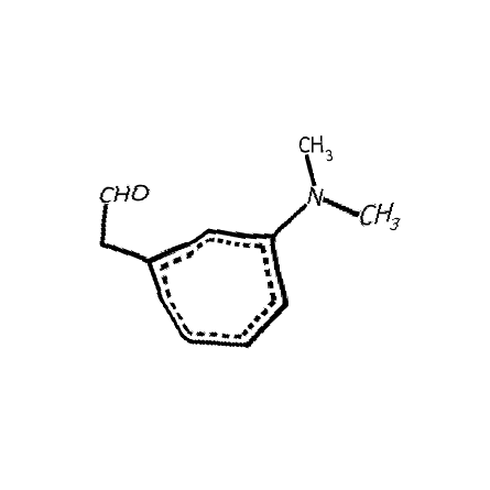 CN(C)c1cccc(CC=O)c1